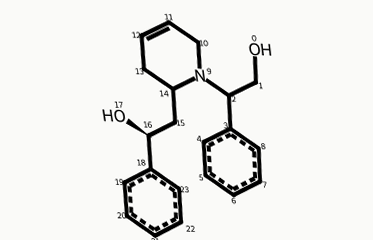 OCC(c1ccccc1)N1CC=CCC1C[C@H](O)c1ccccc1